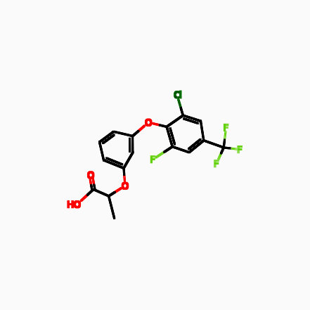 CC(Oc1cccc(Oc2c(F)cc(C(F)(F)F)cc2Cl)c1)C(=O)O